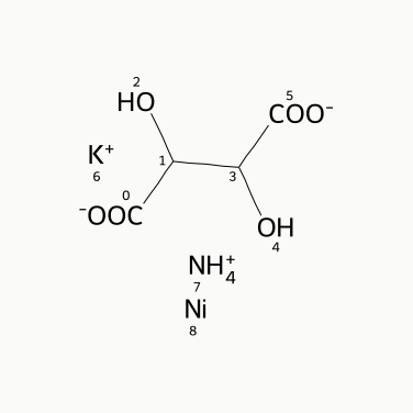 O=C([O-])C(O)C(O)C(=O)[O-].[K+].[NH4+].[Ni]